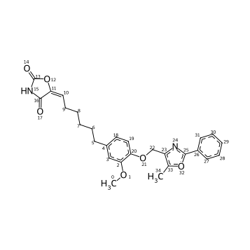 COc1cc(CCCCC/C=C2/OC(=O)NC2=O)ccc1OCc1nc(-c2ccccc2)oc1C